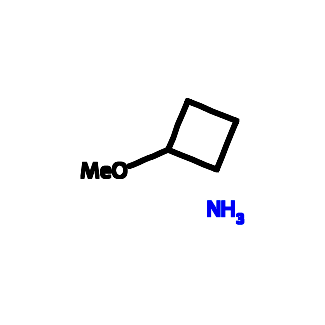 COC1CCC1.N